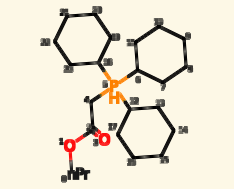 CCCOC(=O)C[PH](C1CCCCC1)(C1CCCCC1)C1CCCCC1